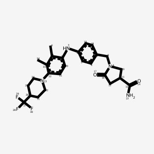 Cc1c(Nc2ccc(CN3CC(C(N)=O)CC3=O)cc2)ccc(N2CCC(C(F)(F)F)CC2)c1C